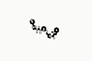 Cn1c(C(=O)N2CCC(COc3cccc(NC(=O)Nc4csc(-c5ccncc5)n4)n3)C2)cc2ccccc21